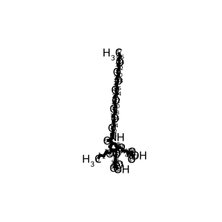 CCCCOc1cc(C(=O)NCCOCCOCCOCCOCCOCCOCCOCCOCCC)cc(OCCCS(=O)(=O)O)c1OCCCS(=O)(=O)O